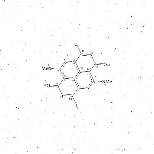 CNc1cc2c3c(c(NC)cc4c3c1C(=O)C=C4C)C(=O)C=C2I